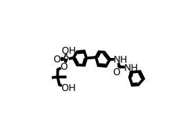 CC(C)(CO)COP(=O)(O)c1ccc(-c2ccc(NC(=O)Nc3ccccc3)cc2)cc1